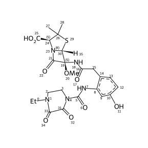 CCN1CCN(C(=O)Nc2cc(O)ccc2CC(=O)N[C@]2(OC)C(=O)N3[C@@H](C(=O)O)C(C)(C)S[C@@H]32)C(=O)C1=O